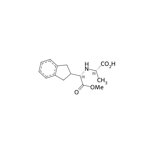 COC(=O)[C@@H](N[C@@H](C)C(=O)O)C1Cc2ccccc2C1